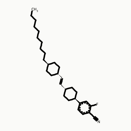 CCCCCCCCCC[C@H]1CC[C@H](C=C[C@H]2CC[C@H](c3ccc(C#N)c(F)c3)CC2)CC1